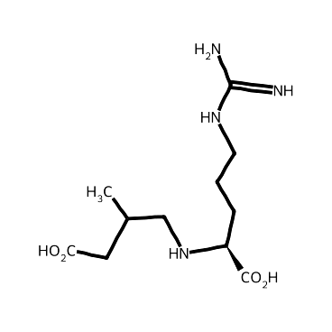 CC(CN[C@@H](CCCNC(=N)N)C(=O)O)CC(=O)O